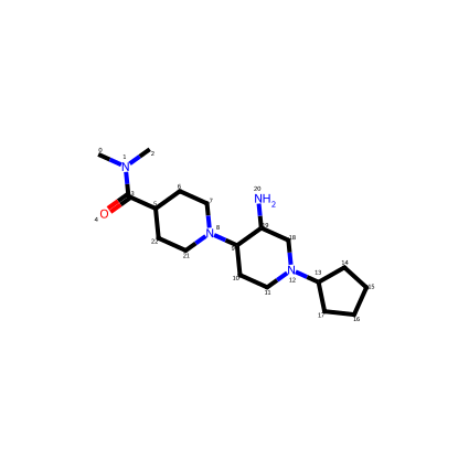 CN(C)C(=O)C1CCN(C2CCN(C3CCCC3)CC2N)CC1